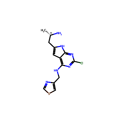 C[C@H](N)Cc1cc2c(NCc3cscn3)nc(Cl)nc2[nH]1